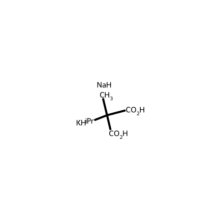 CC(C)C(C)(C(=O)O)C(=O)O.[KH].[NaH]